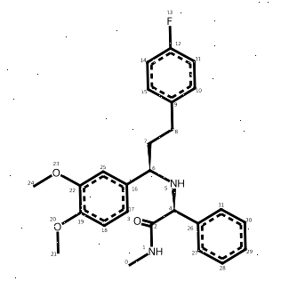 CNC(=O)[C@@H](N[C@H](CCc1ccc(F)cc1)c1ccc(OC)c(OC)c1)c1ccccc1